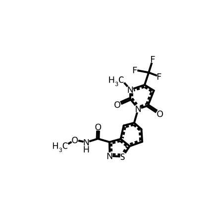 CONC(=O)c1nsc2ccc(-n3c(=O)cc(C(F)(F)F)n(C)c3=O)cc12